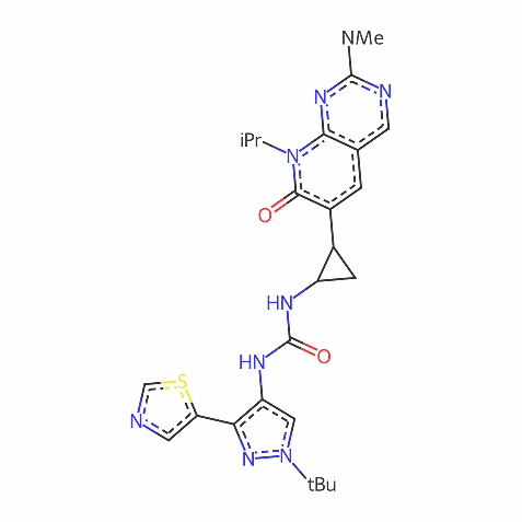 CNc1ncc2cc(C3CC3NC(=O)Nc3cn(C(C)(C)C)nc3-c3cncs3)c(=O)n(C(C)C)c2n1